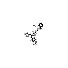 CNc1ccccc1NOCCCC(=O)NC(Cc1ccc2c(c1)OCCO2)CN1CCCC1